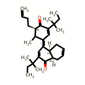 C=CCC[C@H]1C(=O)C(C(C)(C)CC)=C/C(=C2/C=C(C(C)(C)CC)C(=O)[C@@H]3CC=CC[C@H]23)C1C